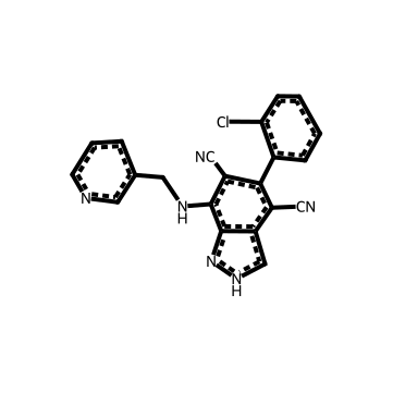 N#Cc1c(-c2ccccc2Cl)c(C#N)c2c[nH]nc2c1NCc1cccnc1